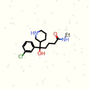 CCNC(=O)CCCC(O)(c1cccc(Cl)c1)C1CCCNC1